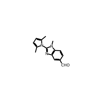 Cc1ccc(C)n1-c1nc2cc(C=O)ccc2n1C